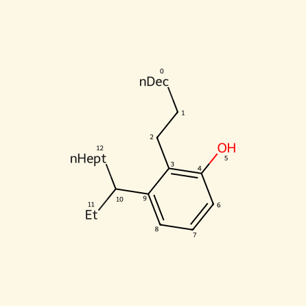 CCCCCCCCCCCCc1c(O)cccc1C(CC)CCCCCCC